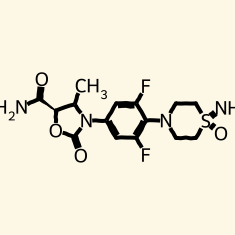 CC1[C@H](C(N)=O)OC(=O)N1c1cc(F)c(N2CCS(=N)(=O)CC2)c(F)c1